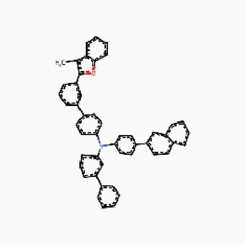 Cc1c(-c2cccc(-c3ccc(N(c4ccc(-c5ccc6ccccc6c5)cc4)c4cccc(-c5ccccc5)c4)cc3)c2)oc2ccccc12